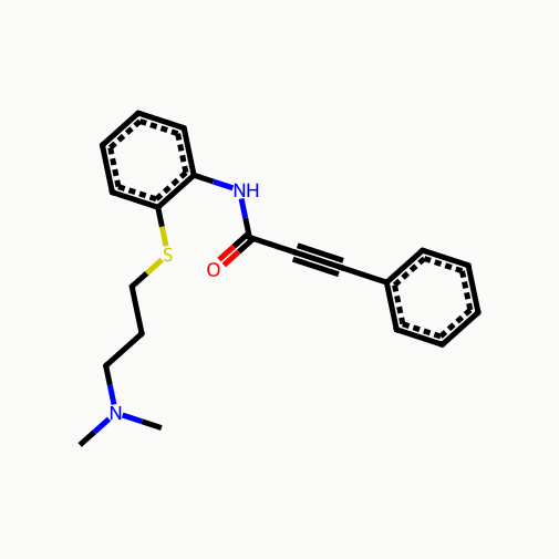 CN(C)CCCSc1ccccc1NC(=O)C#Cc1ccccc1